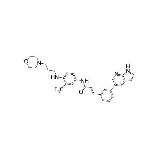 O=C(C=Cc1cccc(-c2cnc3[nH]ccc3c2)c1)Nc1ccc(NCCCN2CCOCC2)c(C(F)(F)F)c1